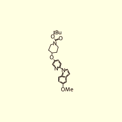 COc1ccc2c(ccn2-c2ccc(OC3CCN(C(=O)OC(C)(C)C)CC3)cn2)c1